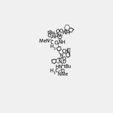 CNC(C)C(=O)NC(C(=O)N1C[C@@H](NC(=O)c2ccc(CN(C(=O)[C@@H]3Cc4ccccc4CN3C(=O)C(NC(=O)C(C)NC)C(C)(C)C)C(C)c3ccccc3Cl)cc2)C[C@H]1C(=O)N[C@@H]1CCCc2ccccc21)C(C)(C)C